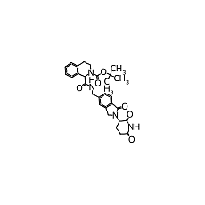 CC(C)(C)OC(=O)N1CCc2ccccc2C1C(=O)NCc1ccc2c(c1)CN(C1CCC(=O)NC1=O)C2=O